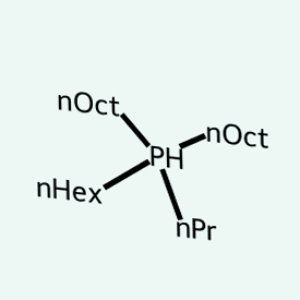 CCCCCCCC[PH](CCC)(CCCCCC)CCCCCCCC